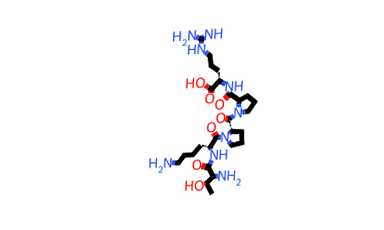 CC(O)C(N)C(=O)N[C@H](CCCCN)C(=O)N1CCC[C@H]1C(=O)N1CCCC1C(=O)N[C@@H](CCCNC(=N)N)C(=O)O